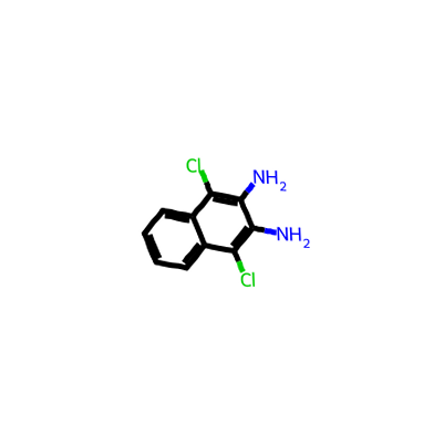 Nc1c(N)c(Cl)c2ccccc2c1Cl